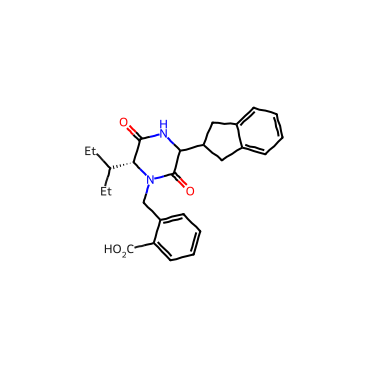 CCC(CC)[C@@H]1C(=O)NC(C2Cc3ccccc3C2)C(=O)N1Cc1ccccc1C(=O)O